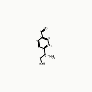 N[C@H](CO)c1ccc(C=O)cn1